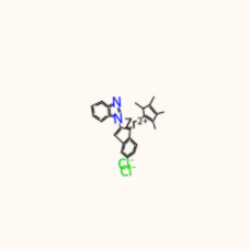 CC1=C(C)C(C)[C]([Zr+2][CH]2C(n3cnc4ccccc43)=Cc3ccccc32)=C1C.[Cl-].[Cl-]